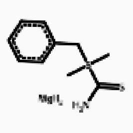 CS(C)(Cc1ccccc1)C(N)=S.[MgH2]